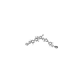 C=CCOC(COc1c(C)cc(-c2cc(C)c(OCC3CO3)c(C)c2)cc1C)COc1c(C)cc(-c2cc(C)c(OCC3CO3)c(C)c2)cc1C